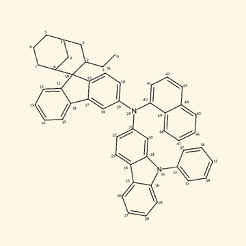 CCC1CC2CCCC(C2)C12c1ccccc1-c1cc(N(c3ccc4c5ccccc5n(-c5ccccc5)c4c3)c3cccc4ccccc34)ccc12